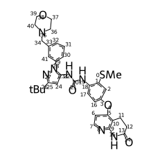 CSc1cc(Oc2ccnc3c2CCC(=O)N3)ccc1NC(=O)Nc1cc(C(C)(C)C)nn1-c1cccc(CN2CCOCC2)c1